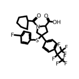 O=C(O)C1CC(Sc2ccc(F)cc2)(c2ccc(C(F)(C(F)(F)F)C(F)(F)F)cc2)CN1C(=O)C1CCCCC1